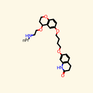 CCCNCCOC1CCOc2ccc(OCCCCOc3ccc4c(c3)NC(=O)CC4)cc21